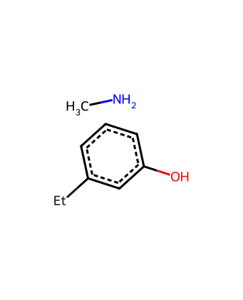 CCc1cccc(O)c1.CN